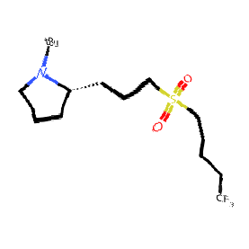 CC(C)(C)N1CCC[C@H]1CCCS(=O)(=O)CCCC(F)(F)F